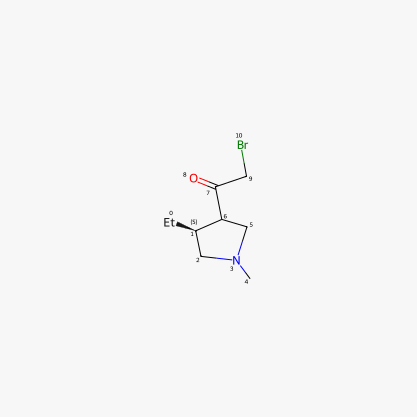 CC[C@@H]1CN(C)CC1C(=O)CBr